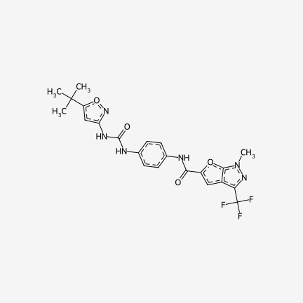 Cn1nc(C(F)(F)F)c2cc(C(=O)Nc3ccc(NC(=O)Nc4cc(C(C)(C)C)on4)cc3)oc21